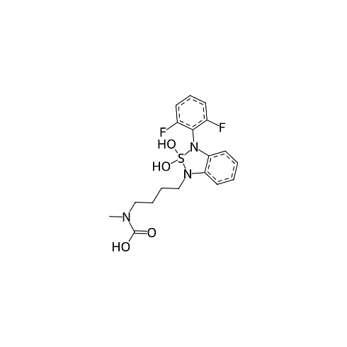 CN(CCCCN1c2ccccc2N(c2c(F)cccc2F)S1(O)O)C(=O)O